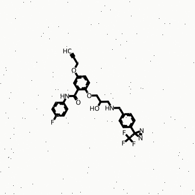 C#CCOc1ccc(OCC(O)CNCc2ccc(C3(C(F)(F)F)N=N3)cc2)c(C(=O)Nc2ccc(F)cc2)c1